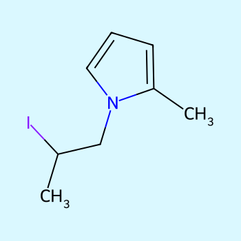 Cc1cccn1CC(C)I